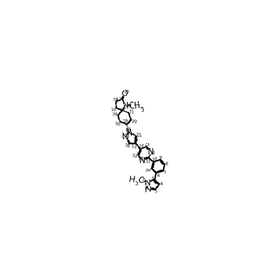 Cn1nccc1-c1cccc(-c2ncc(-c3cnn([C@H]4CC[C@]5(CCC(=O)N5C)CC4)c3)cn2)c1